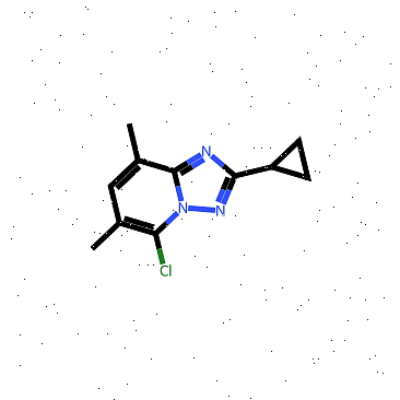 Cc1cc(C)c2nc(C3CC3)nn2c1Cl